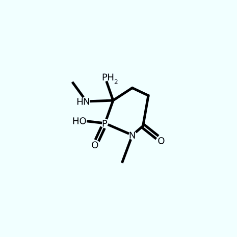 CNC1(P)CCC(=O)N(C)P1(=O)O